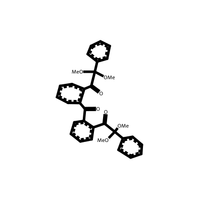 COC(OC)(C(=O)c1ccccc1C(=O)c1ccccc1C(=O)C(OC)(OC)c1ccccc1)c1ccccc1